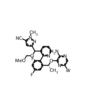 COCOC(c1cc(C#N)n(C)n1)c1cccnc1-c1c(F)cc(F)cc1[C@@H](C)Oc1nc(Br)cnc1N